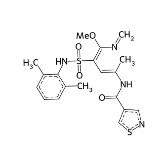 C=N/C(OC)=C(\C=C(/C)NC(=O)c1cnsc1)S(=O)(=O)Nc1c(C)cccc1C